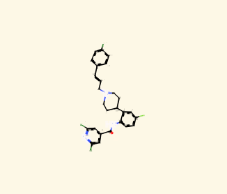 O=C(Nc1ccc(F)cc1C1CCN(C/C=C/c2ccc(Cl)cc2)CC1)c1cc(Cl)nc(Cl)c1